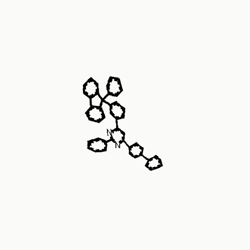 c1ccc(-c2ccc(-c3cc(-c4cccc(C5(c6ccccc6)c6ccccc6-c6ccccc65)c4)nc(-c4ccccc4)n3)cc2)cc1